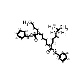 CCCCN(CCCCN(CCCNC(C)(C)C)C(=O)OCc1ccccc1)C(=O)OCc1ccccc1